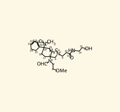 COCCN(C=O)C1(CN(C)CCC(=O)NCCO)CCC(C2=CC=CCC2)(N(C)C)CC1